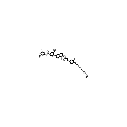 Cc1c(F)cc(SC(=O)c2ccc(-c3ccc4c(F)c(OC(=O)/C=C/c5ccc(OCCCCCCOCC6CO6)c(F)c5)ccc4c3)c(C=N)c2)cc1F